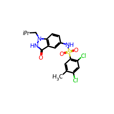 Cc1cc(S(=O)(=O)Nc2ccc3c(c2)c(=O)[nH]n3CC(C)C)c(Cl)cc1Cl